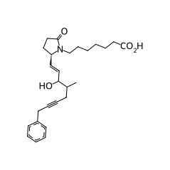 CC(CC#CCc1ccccc1)C(O)/C=C/[C@H]1CCC(=O)N1CCCCCCC(=O)O